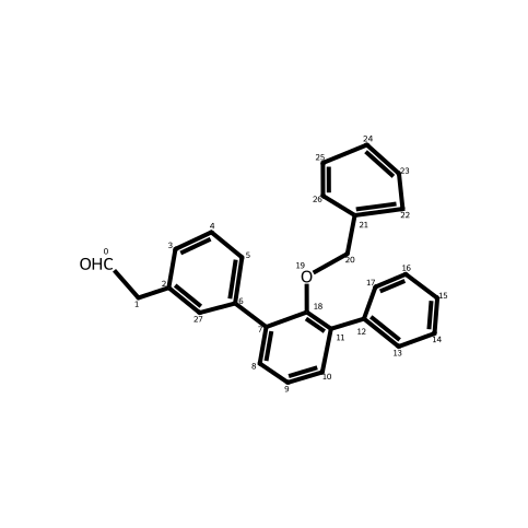 O=CCc1cccc(-c2cccc(-c3ccccc3)c2OCc2ccccc2)c1